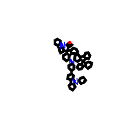 c1ccc(-n2c3ccccc3c3ccc(-c4ccc(N(c5ccc6c(c5)C(c5ccccc5)(c5ccccc5)c5ccccc5-6)c5cccc6c5-c5ccccc5C65c6ccccc6-n6c7ccccc7c7cccc5c76)cc4)cc32)cc1